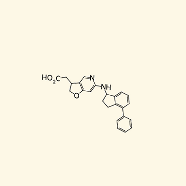 O=C(O)CC1COc2cc(NC3CCc4c(-c5ccccc5)cccc43)ncc21